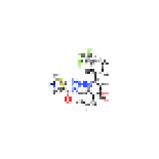 O=C(Nc1cccc2c(=O)cc(-c3cccc(C(F)(F)F)c3)[nH]c12)c1cncs1